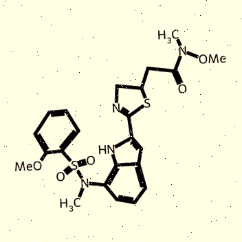 COc1ccccc1S(=O)(=O)N(C)c1cccc2cc(C3=NCC(CC(=O)N(C)OC)S3)[nH]c12